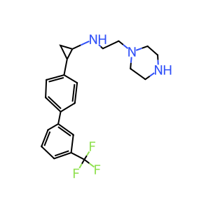 FC(F)(F)c1cccc(-c2ccc(C3CC3NCCN3CCNCC3)cc2)c1